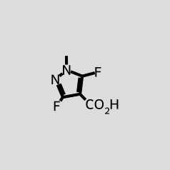 Cn1nc(F)c(C(=O)O)c1F